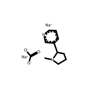 CN1CCCC1c1cccnc1.O=C([O-])[O-].[Na+].[Na+]